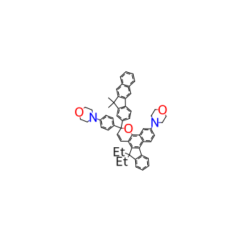 CCC1(CC)c2ccccc2-c2c1c1c(c3cc(N4CCOCC4)ccc23)OC(c2ccc(N3CCOCC3)cc2)(c2ccc3c(c2)C(C)(C)c2cc4ccccc4cc2-3)C=C1